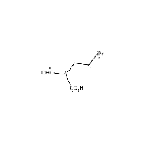 CC(C)CCC(C=O)C(=O)O